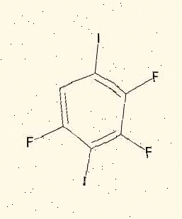 Fc1cc(I)c(F)c(F)c1I